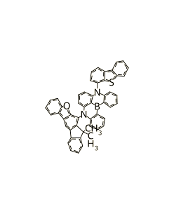 CC1(C)c2ccccc2-c2cc3c(oc4ccccc43)c(N3c4ccccc4B4c5ccccc5N(c5cccc6c5sc5ccccc56)c5cccc3c54)c21